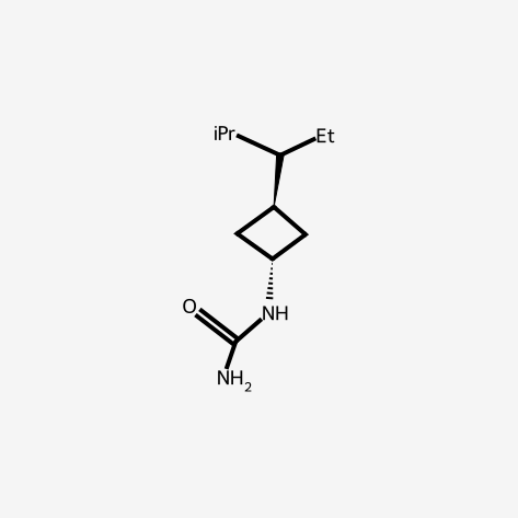 CCC(C(C)C)[C@H]1C[C@H](NC(N)=O)C1